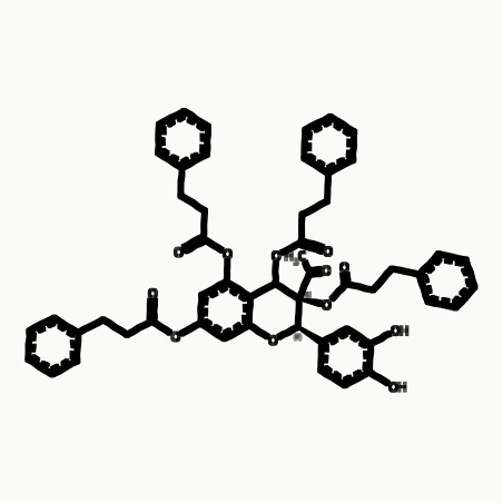 CC(=O)[C@@]1(OC(=O)CCc2ccccc2)C(OC(=O)CCc2ccccc2)c2c(OC(=O)CCc3ccccc3)cc(OC(=O)CCc3ccccc3)cc2O[C@@H]1c1ccc(O)c(O)c1